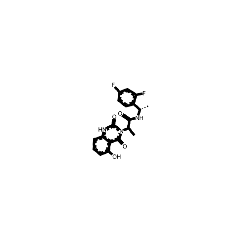 CC(C(=O)N[C@@H](C)c1ccc(F)cc1F)n1c(=O)[nH]c2cccc(O)c2c1=O